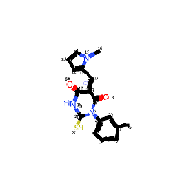 Cc1cccc(N2C(=O)/C(=C/c3cccn3C)C(=O)NC2S)c1